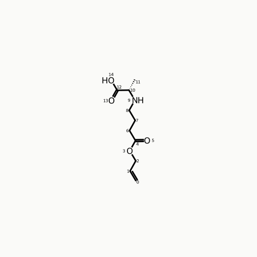 C=CCOC(=O)CCCN[C@@H](C)C(=O)O